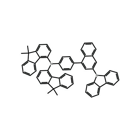 CC1(C)c2ccccc2-c2c(N(c3ccc(-c4cc(-n5c6ccccc6c6ccccc65)cc5ccccc45)cc3)c3cccc4c3-c3ccccc3C4(C)C)cccc21